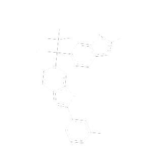 Cc1cccc(-c2nc3cc(C(C)(c4ccc5oc(C)nc5c4)C(F)(F)F)ccc3o2)c1